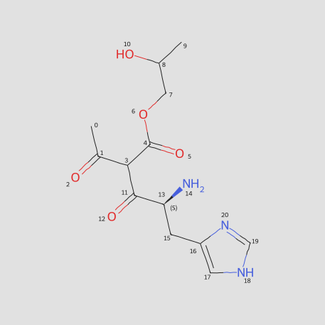 CC(=O)C(C(=O)OCC(C)O)C(=O)[C@@H](N)Cc1c[nH]cn1